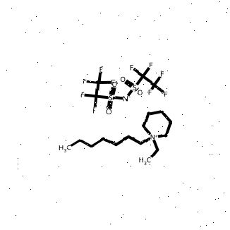 CCCCCCC[N+]1(CC)CCCCC1.O=S(=O)([N-]S(=O)(=O)C(F)(F)C(F)(F)F)C(F)(F)C(F)(F)F